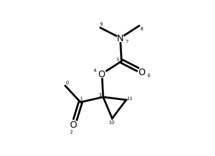 CC(=O)C1(OC(=O)N(C)C)CC1